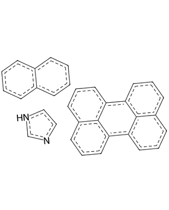 c1c[nH]cn1.c1cc2cccc3c4cccc5cccc(c(c1)c23)c54.c1ccc2ccccc2c1